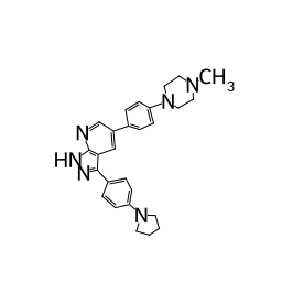 CN1CCN(c2ccc(-c3cnc4[nH]nc(-c5ccc(N6CCCC6)cc5)c4c3)cc2)CC1